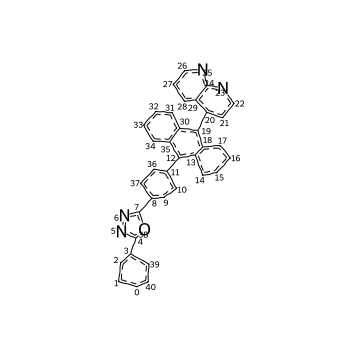 c1ccc(-c2nnc(-c3ccc(-c4c5ccccc5c(-c5ccnc6ncccc56)c5ccccc45)cc3)o2)cc1